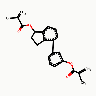 C=C(C)C(=O)Oc1cccc(-c2cccc3c2CCC3OC(=O)C(=C)C)c1